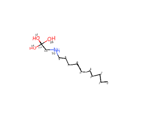 CCCCCCCCCCNCC(O)(O)O